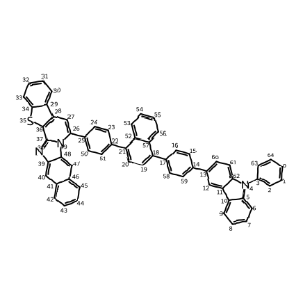 c1ccc(-n2c3ccccc3c3cc(-c4ccc(-c5ccc(-c6ccc(-c7cc8c9ccccc9sc8c8nc9cc%10ccccc%10cc9n78)cc6)c6ccccc56)cc4)ccc32)cc1